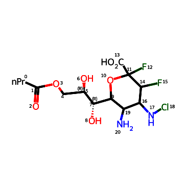 CCCC(=O)OC[C@@H](O)[C@@H](O)C1OC(F)(C(=O)O)C(F)C(NCl)C1N